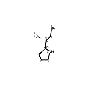 CC(C)C[C@@H](O)[C@@H]1CCCN1